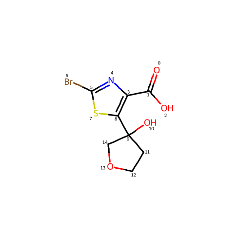 O=C(O)c1nc(Br)sc1C1(O)CCOC1